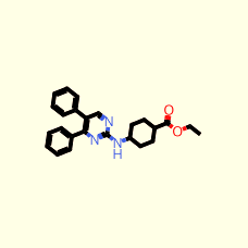 CCOC(=O)C1CCC(Nc2ncc(-c3ccccc3)c(-c3ccccc3)n2)CC1